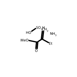 C=C(CC)C(=O)OC.N.O=S(=O)(O)O